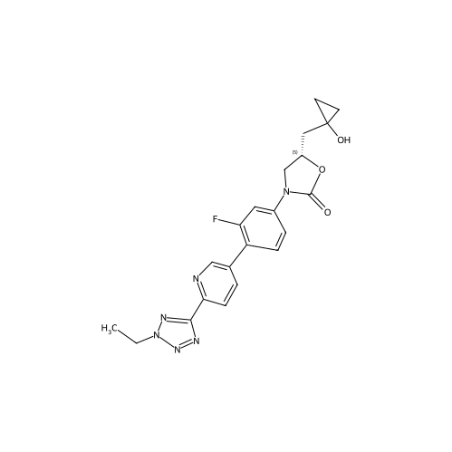 CCn1nnc(-c2ccc(-c3ccc(N4C[C@H](CC5(O)CC5)OC4=O)cc3F)cn2)n1